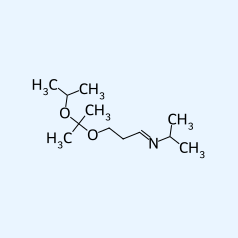 CC(C)/N=C/CCOC(C)(C)OC(C)C